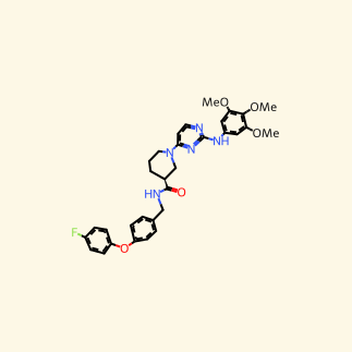 COc1cc(Nc2nccc(N3CCC[C@H](C(=O)NCc4ccc(Oc5ccc(F)cc5)cc4)C3)n2)cc(OC)c1OC